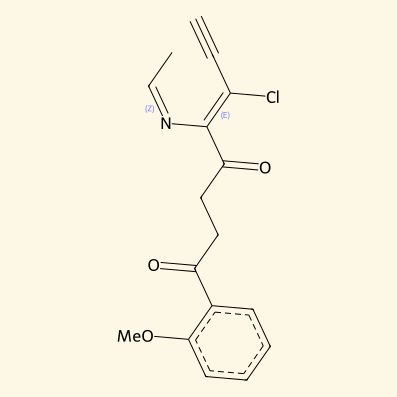 C#C/C(Cl)=C(\N=C/C)C(=O)CCC(=O)c1ccccc1OC